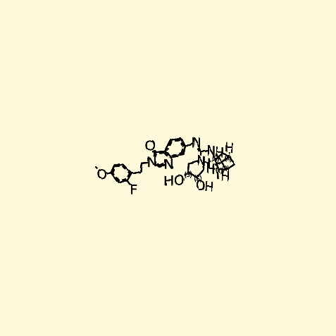 COc1ccc(CCn2cnc3cc(N=C(N[C@H]4C[C@H]5C[C@H]([C@H]4C)C5(C)C)N4C[C@H](O)[C@@H](O)C4)ccc3c2=O)c(F)c1